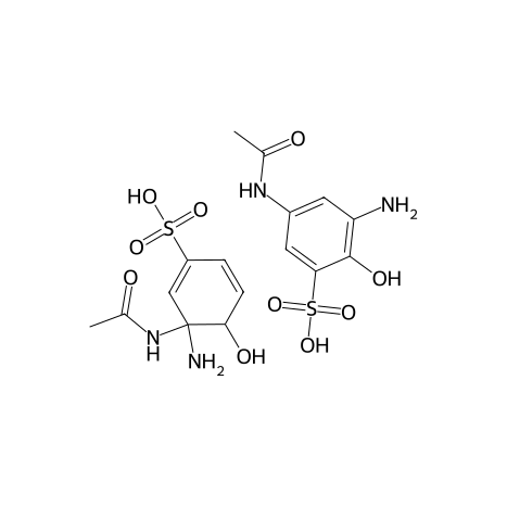 CC(=O)NC1(N)C=C(S(=O)(=O)O)C=CC1O.CC(=O)Nc1cc(N)c(O)c(S(=O)(=O)O)c1